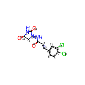 O=C(/C=C/c1ccc(Cl)c(Cl)c1)NN1CC(=O)NC1=O